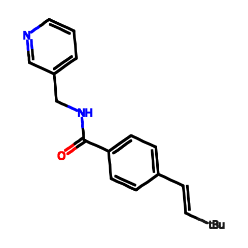 CC(C)(C)/C=C/c1ccc(C(=O)NCc2cccnc2)cc1